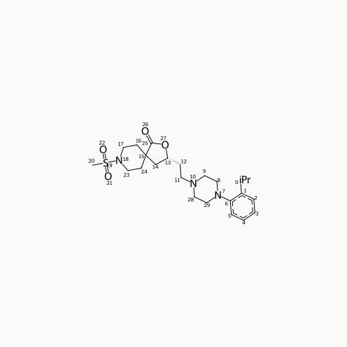 CC(C)c1ccccc1N1CCN(CC[C@@H]2CC3(CCN(S(C)(=O)=O)CC3)C(=O)O2)CC1